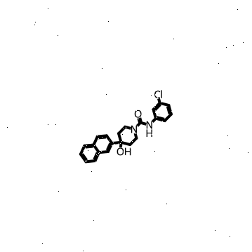 O=C(Nc1cccc(Cl)c1)N1CCC(O)(c2ccc3ccccc3c2)CC1